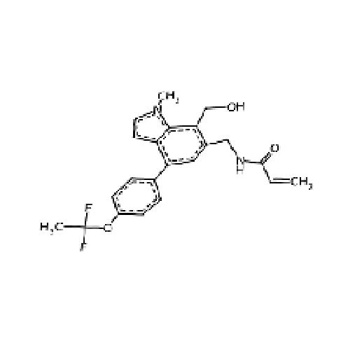 C=CC(=O)NCc1cc(-c2ccc(OC(C)(F)F)cc2)c2ccn(C)c2c1CO